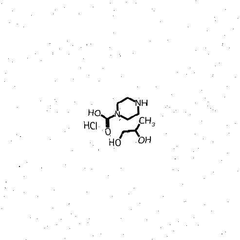 CC(O)CO.Cl.O=C(O)N1CCNCC1